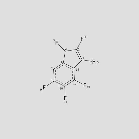 FC1=C(F)C(F)c2cc(F)c(F)c(F)c21